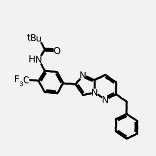 CC(C)(C)C(=O)Nc1cc(-c2cn3nc(Cc4ccccc4)ccc3n2)ccc1C(F)(F)F